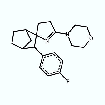 Fc1ccc(C2C3CCC(C3)C23CCC(N2CCOCC2)=N3)cc1